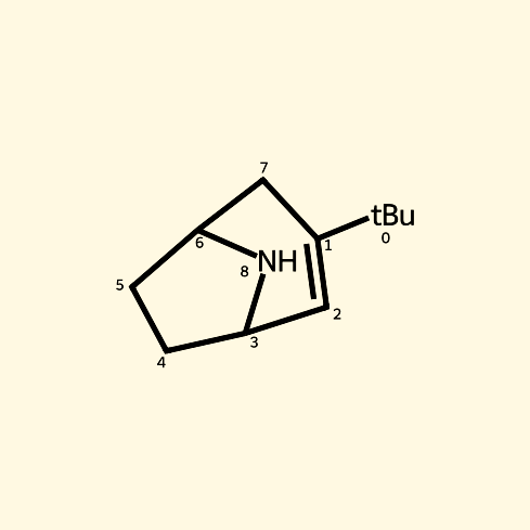 CC(C)(C)C1=CC2CCC(C1)N2